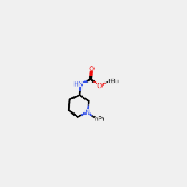 CCCN1CCCC(NC(=O)OC(C)(C)C)C1